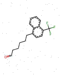 O=[C]CCCCCc1ccc(C(F)(F)F)c2ccccc12